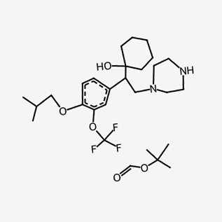 CC(C)(C)OC=O.CC(C)COc1ccc(C(CN2CCNCC2)C2(O)CCCCC2)cc1OC(F)(F)F